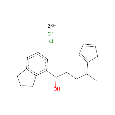 CC(CCC(O)c1cccc2c1C=CC2)C1=CC=CC1.[Cl-].[Cl-].[Zr+2]